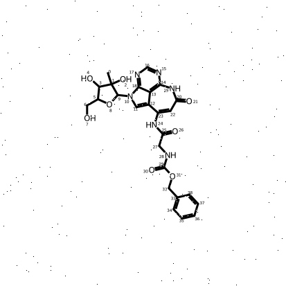 CC1(O)C(O)C(CO)OC1n1cc2c3c(ncnc31)NC(=O)C=C2NC(=O)CNC(=O)OCc1ccccc1